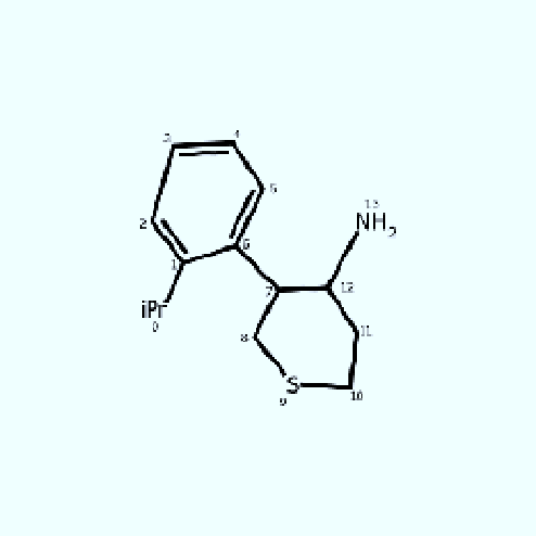 CC(C)c1ccccc1C1CSCCC1N